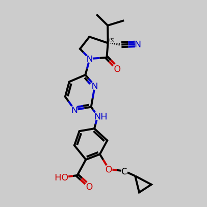 CC(C)[C@]1(C#N)CCN(c2ccnc(Nc3ccc(C(=O)O)c(OCC4CC4)c3)n2)C1=O